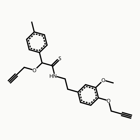 C#CCOc1ccc(CCNC(=S)C(OCC#C)c2ccc(C)cc2)cc1OC